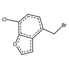 Clc1ccc(CBr)c2ccoc12